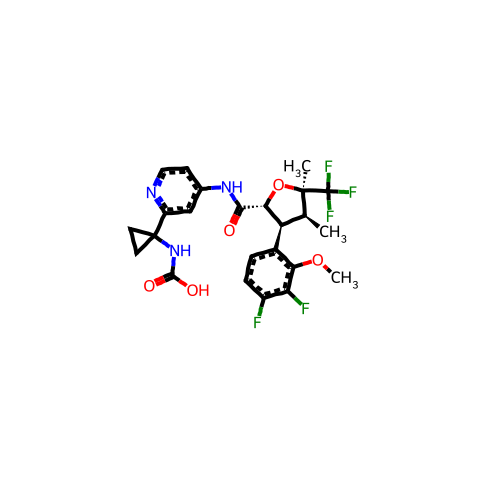 COc1c([C@H]2[C@H](C(=O)Nc3ccnc(C4(NC(=O)O)CC4)c3)O[C@@](C)(C(F)(F)F)[C@H]2C)ccc(F)c1F